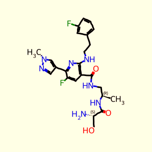 C[C@H](CNC(=O)c1cc(F)c(-c2cnn(C)c2)nc1NCCc1cccc(F)c1)NC(=O)[C@@H](N)CO